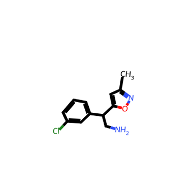 Cc1cc(C(CN)c2cccc(Cl)c2)on1